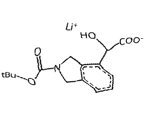 CC(C)(C)OC(=O)N1Cc2cccc(C(O)C(=O)[O-])c2C1.[Li+]